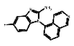 Nc1nc2cc(F)ccc2n1-c1cccc2cnccc12